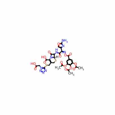 CC(=O)Oc1cc(C(=O)O/N=C(\C(=O)N[C@@H]2C(=O)N3C(C(=O)O)=C(CSc4nnnn4CC(=O)O)CS[C@H]23)c2coc(N)n2)cc(OC(C)=O)c1OC(C)=O